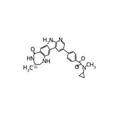 C[C@H]1CNc2cc(-c3cc(-c4ccc(S(=O)(=O)N(C)C5CC5)cc4)cnc3N)ccc2C(=O)N1